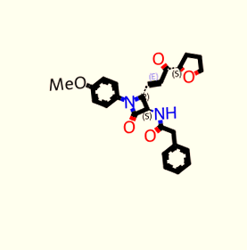 COc1ccc(N2C(=O)[C@@H](NC(=O)Cc3ccccc3)[C@H]2/C=C/C(=O)[C@@H]2CCCO2)cc1